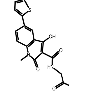 CC(=O)CNC(=O)c1c(O)c2cc(-c3cccs3)ccc2n(C)c1=O